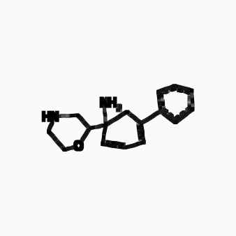 NC1(C2CNCCO2)C=CC=C(c2ccccc2)C1